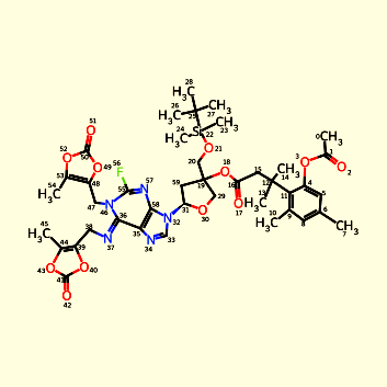 CC(=O)Oc1cc(C)cc(C)c1C(C)(C)CC(=O)OC1(CO[Si](C)(C)C(C)(C)C)CO[C@@H](n2cnc3/c(=N/Cc4oc(=O)oc4C)n(Cc4oc(=O)oc4C)c(F)nc32)C1